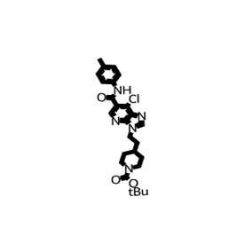 Cc1ccc(NC(=O)c2cnc3c(ncn3CCC3CCN(C(=O)OC(C)(C)C)CC3)c2Cl)cc1